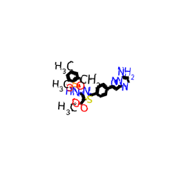 COC(=O)c1sc(-c2ccc(-c3cc4nccc(N)n4n3)cc2)nc1NP(=O)(OC)c1ccc(C)cc1C